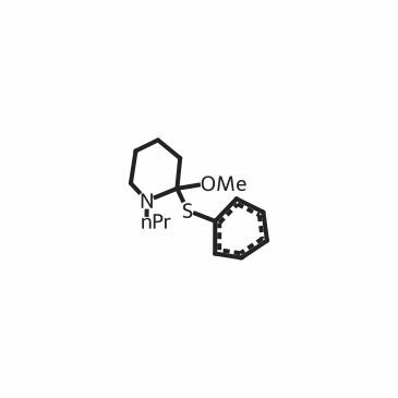 CCCN1CCCCC1(OC)Sc1ccccc1